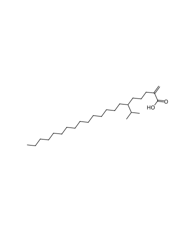 C=C(CCCC(CCCCCCCCCCCCCCC)C(C)C)C(=O)O